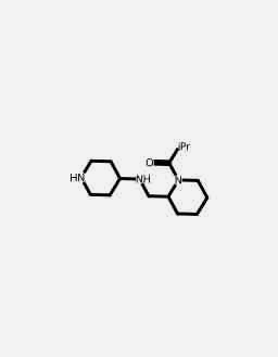 CC(C)C(=O)N1CCCCC1CNC1CCNCC1